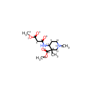 COC(=O)CC(=O)NC1CCN(C)CC1(C)C(=O)OC